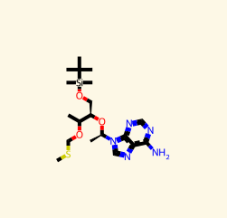 CSCOC(C)[C@@H](CO[Si](C)(C)C(C)(C)C)O[C@H](C)n1cnc2c(N)ncnc21